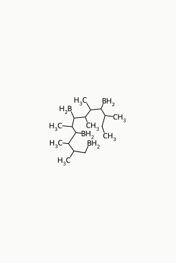 BCC(C)C(C)C(B)C(C)C(B)C(C)C(C)C(B)C(C)CC